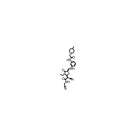 CCn1c(=C(C#N)C(=O)NCC#N)sc(=CNc2cccc(NC(=O)CN3CCC(C)CC3)c2)c1=O